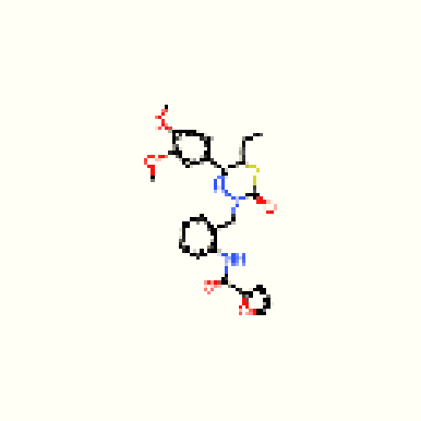 CCC1SC(=O)N(Cc2ccccc2NC(=O)c2ccco2)N=C1c1ccc(OC)c(OC)c1